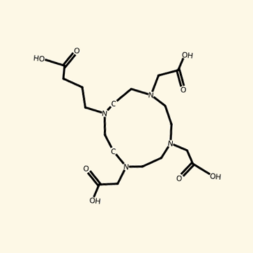 O=C(O)CCCN1CCN(CC(=O)O)CCN(CC(=O)O)CCN(CC(=O)O)CC1